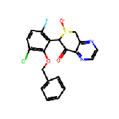 O=C1c2nccnc2C[S+]([O-])C1c1c(F)ccc(Cl)c1OCc1ccccc1